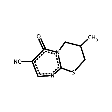 CC1CSc2ncc(C#N)c(=O)n2C1